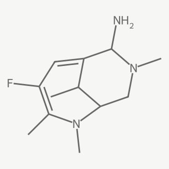 CC1=C(F)C=C2C(C)C(CN(C)C2N)N1C